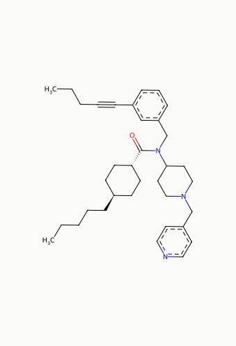 CCCC#Cc1cccc(CN(C(=O)[C@H]2CC[C@H](CCCCC)CC2)C2CCN(Cc3ccncc3)CC2)c1